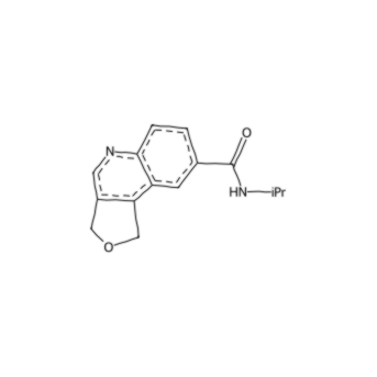 CC(C)NC(=O)c1ccc2ncc3c(c2c1)COC3